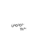 [O-2].[O-2].[Th+4].[U+6]